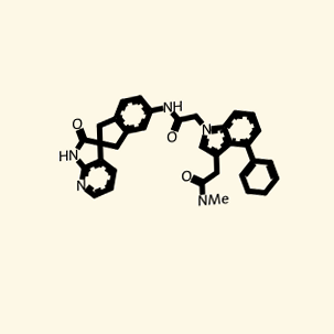 CNC(=O)Cc1cn(CC(=O)Nc2ccc3c(c2)CC2(C3)C(=O)Nc3ncccc32)c2cccc(C3=CCCC=C3)c12